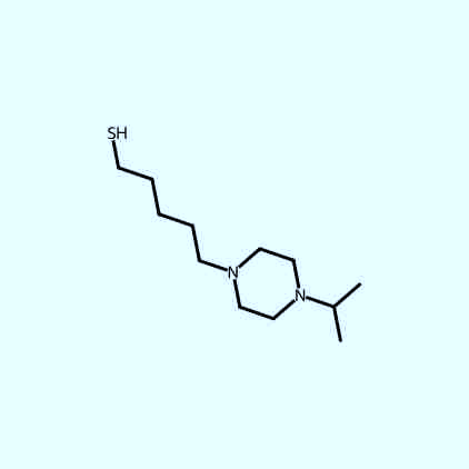 CC(C)N1CCN(CCCCCS)CC1